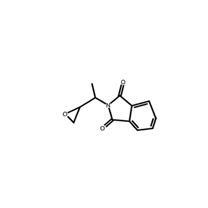 CC(C1CO1)N1C(=O)c2ccccc2C1=O